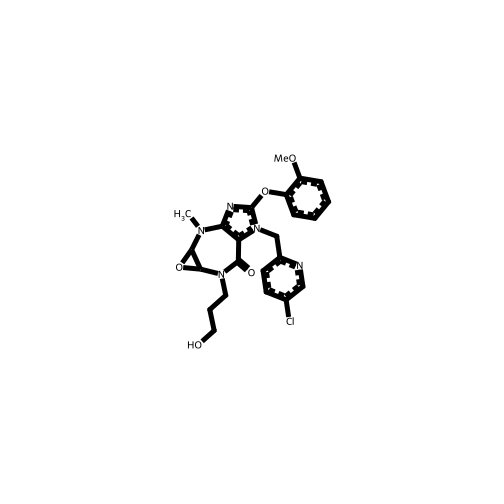 COc1ccccc1Oc1nc2c(n1Cc1ccc(Cl)cn1)C(=O)N(CCCO)C1OC1N2C